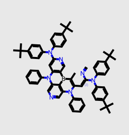 C=N/C(=C\C1=C(C)B2c3cnc(N(c4ccc(C(C)(C)C)cc4)c4ccc(C(C)(C)C)cc4)cc3N(c3ccccc3)c3cncc(c32)N1c1ccccc1)N(c1ccc(C(C)(C)C)cc1)c1ccc(C(C)(C)C)cc1